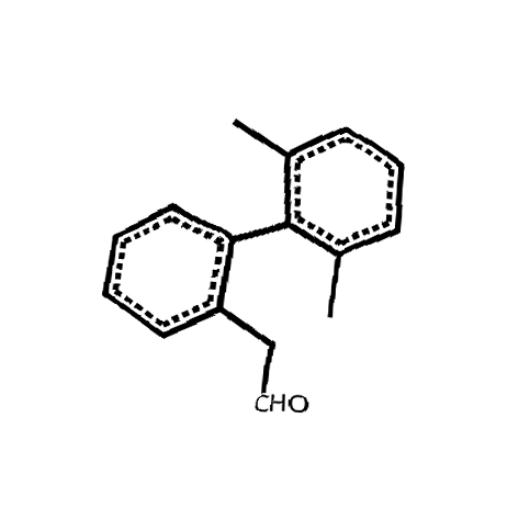 Cc1cccc(C)c1-c1ccccc1CC=O